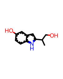 CC(CO)c1cc2cc(O)ccc2[nH]1